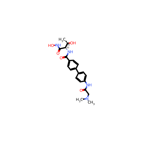 C[C@@H](O)[C@H](NC(=O)c1ccc(-c2ccc(NC(=O)CN(C)C)cc2)cc1)C(=O)NO